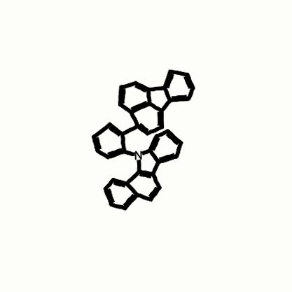 c1ccc2c(c1)-c1cccc3c(-c4ccccc4-n4c5ccccc5c5ccc6ccccc6c54)ccc-2c13